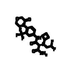 NC(=O)[C@H](C(=O)Nc1ccc(N2CCOCC2=O)c(C(F)(F)F)c1)N(CC(F)F)C1CCC1